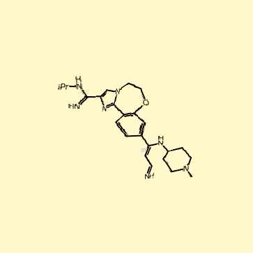 CC(C)NC(=N)c1cn2c(n1)-c1ccc(/C(=C/C=N)NC3CCN(C)CC3)cc1OCC2